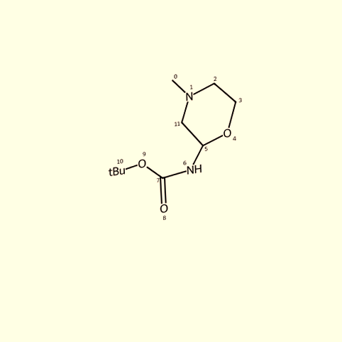 CN1CCOC(NC(=O)OC(C)(C)C)C1